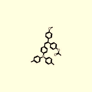 COc1ccc(C(=Cc2ccc(N(c3ccc(C)cc3)c3ccc(C)cc3)cc2)c2ccc(OC(C)=O)cc2)cc1